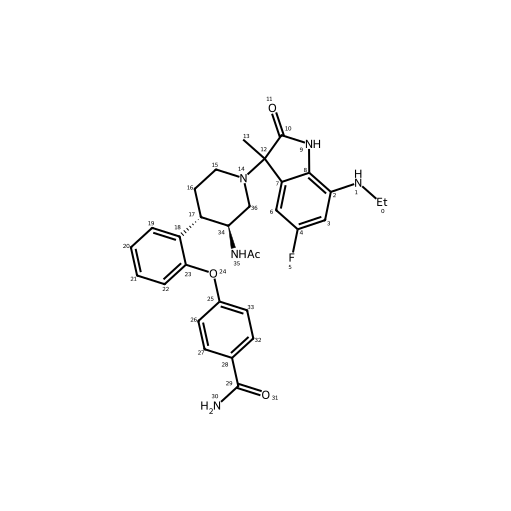 CCNc1cc(F)cc2c1NC(=O)C2(C)N1CC[C@@H](c2ccccc2Oc2ccc(C(N)=O)cc2)[C@H](NC(C)=O)C1